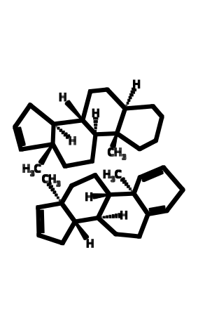 C[C@@]12C=CC[C@H]1[C@@H]1CCC3=CCC=C[C@]3(C)[C@H]1CC2.C[C@]12CCCC[C@@H]1CC[C@@H]1[C@@H]2CC[C@]2(C)C=CC[C@@H]12